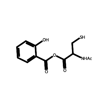 CC(=O)NC(CS)C(=O)OC(=O)c1ccccc1O